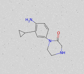 Nc1ccc(N2CCNCC2=O)cc1C1CC1